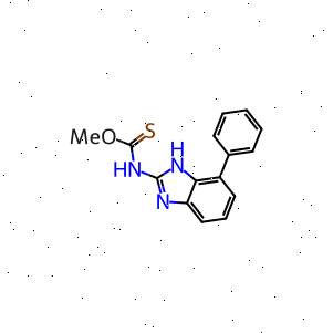 COC(=S)Nc1nc2cccc(-c3ccccc3)c2[nH]1